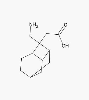 NCC1(CC(=O)O)C2CCC3CC2C1C3